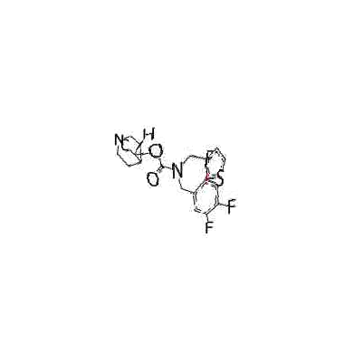 O=C(O[C@H]1CN2CCC1CC2)N(Cc1ccsc1)Cc1cc(F)c(F)cc1F